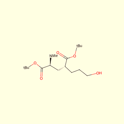 CN[C@@H](C[C@@H](CCCO)C(=O)OC(C)(C)C)C(=O)OC(C)(C)C